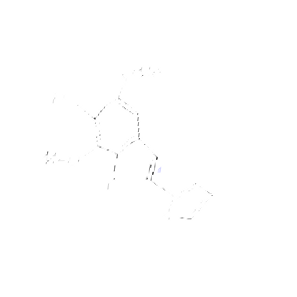 COc1cc(/C=C/c2cccs2)c(F)c(OC)c1C(C)C